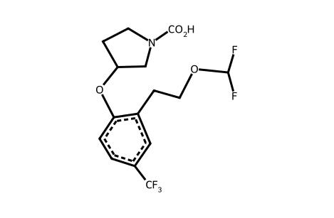 O=C(O)N1CCC(Oc2ccc(C(F)(F)F)cc2CCOC(F)F)C1